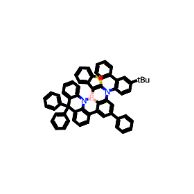 CC(C)(C)c1ccc(N2c3cc(-c4ccccc4)cc4c3B(c3c2sc2ccccc32)N2c3ccccc3C(c3ccccc3)(c3ccccc3)c3cccc-4c32)c(-c2ccccc2)c1